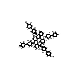 Cc1ccc(-c2ccc(B3c4cccc5c4N4c6c3ccc3c6N6c7c(cccc7B(c7ccc(-c8ccc(C)cc8)cc7)c7ccc(c4c76)B5c4ccc(-c5ccc(C)cc5)cc4)B3c3ccc(-c4ccc(C)cc4)cc3)cc2)cc1